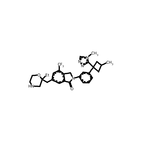 CCC1(Cc2cc3c(c(C(F)(F)F)c2)CN(c2cccc(C4(c5nncn5C)CC(C)C4)c2)C3=O)CNCCO1